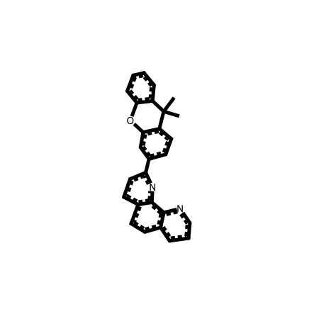 CC1(C)c2ccccc2Oc2cc(-c3ccc4ccc5cccnc5c4n3)ccc21